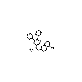 CN(CC1CCc2c(O)cccc2C1)c1cnc(-c2ccccc2)c(-c2ccccc2)n1